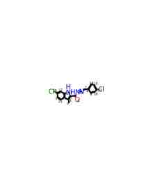 Cc1c(C(=O)NN=Cc2ccc(Cl)cc2)[nH]c2cc(Cl)ccc12